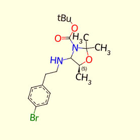 C[C@@H]1OC(C)(C)N(C(=O)OC(C)(C)C)C1NCCc1ccc(Br)cc1